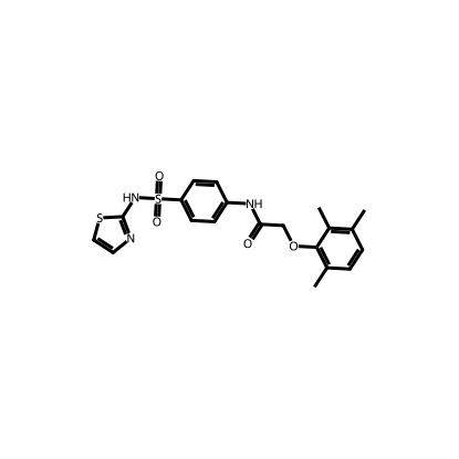 Cc1ccc(C)c(OCC(=O)Nc2ccc(S(=O)(=O)Nc3nccs3)cc2)c1C